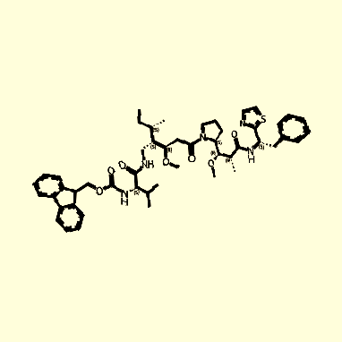 CC[C@H](C)[C@@H](CNC(=O)[C@@H](NC(=O)OCC1c2ccccc2-c2ccccc21)C(C)C)[C@@H](CC(=O)N1CCC[C@H]1[C@H](OC)[C@@H](C)C(=O)N[C@@H](Cc1ccccc1)c1nccs1)OC